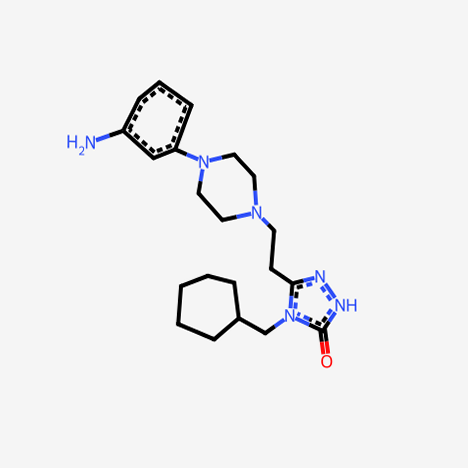 Nc1cccc(N2CCN(CCc3n[nH]c(=O)n3CC3CCCCC3)CC2)c1